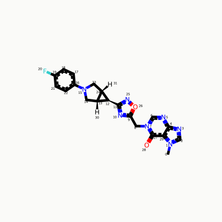 Cn1cnc2ncn(Cc3nc([C@H]4[C@@H]5CN(c6ccc(F)cc6)C[C@@H]54)no3)c(=O)c21